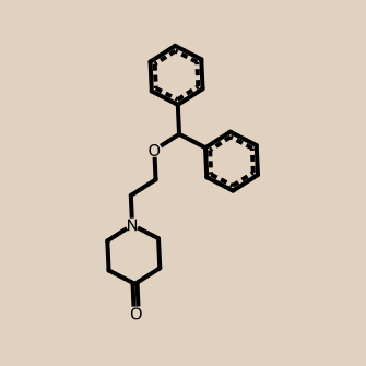 O=C1CCN(CCOC(c2ccccc2)c2ccccc2)CC1